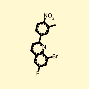 Cc1cc(-c2ccc3cc(F)cc(Br)c3n2)ccc1[N+](=O)[O-]